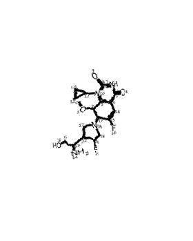 COC1c2c(c(=O)[nH]c(=O)n2C2CC2)C=C(F)C1N1CC(F)C(C(N)CO)C1